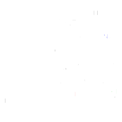 CC1=C(CC(=O)O)C2=C(C(=O)c3csc(SC(F)(F)F)c3)C(O)=C(Cl)CC2=N1